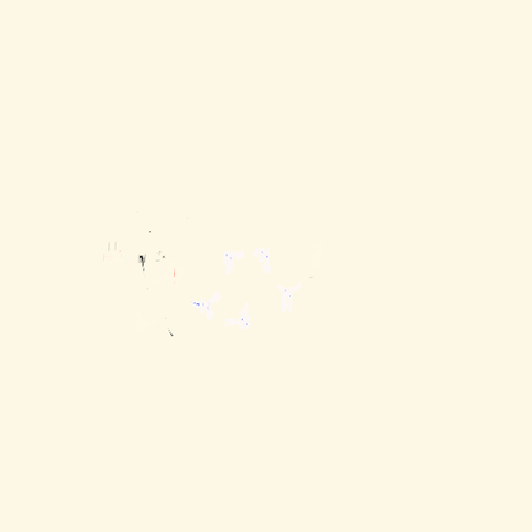 CC(C)(C)[Si](C)(C)O[C@H]1[C@H]2OC[C@]1(CO)O[C@H]2n1cnc2c(NC(=O)c3ccccc3)ncnc21